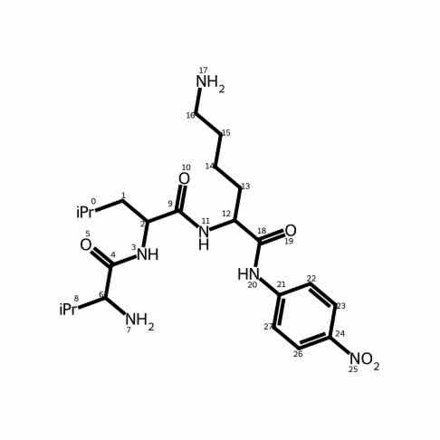 CC(C)CC(NC(=O)C(N)C(C)C)C(=O)NC(CCCCN)C(=O)Nc1ccc([N+](=O)[O-])cc1